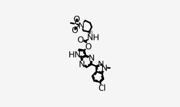 Cn1nc(-c2cnc3[nH]cc(OC(=O)N[C@@H]4CCCN(S(C)(=O)=O)C4)c3n2)c2ccc(Cl)cc21